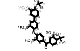 CCCC(C)(CC)c1ccc(C(=O)c2ccc(Oc3ccc(-c4ccc(OC(C)(CC)CC)c(S(=O)(=O)O)c4)cc3S(=O)(=O)O)c(S(=O)(=O)O)c2)cc1S(=O)(=O)O